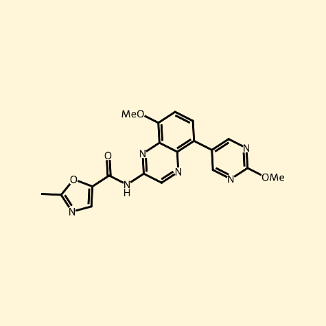 COc1ncc(-c2ccc(OC)c3nc(NC(=O)c4cnc(C)o4)cnc23)cn1